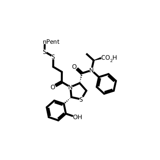 CCCCCSSCCC(=O)N1[C@@H](c2ccccc2O)SC[C@H]1C(=O)N(c1ccccc1)[C@@H](C)C(=O)O